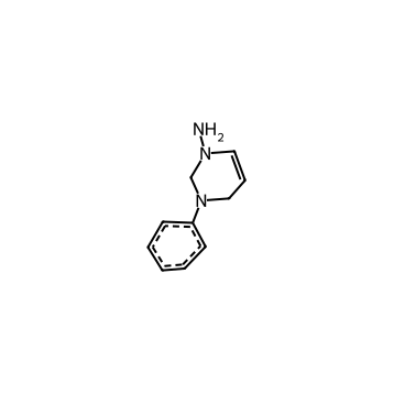 NN1C=CCN(c2ccccc2)C1